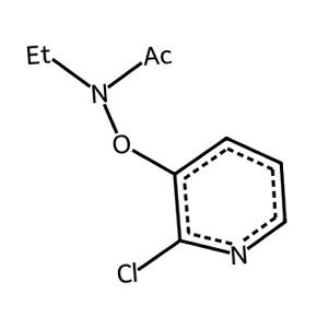 [CH2]CN(Oc1cccnc1Cl)C(C)=O